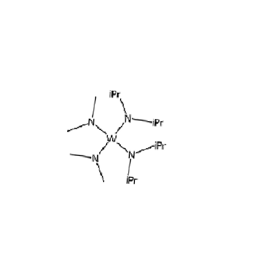 CC(C)[N](C(C)C)[W]([N](C)C)([N](C)C)[N](C(C)C)C(C)C